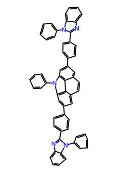 c1ccc(-n2c(-c3ccc(-c4cc5ccc6cc(-c7ccc(-c8nc9ccccc9n8-c8ccccc8)cc7)cc7c6c5c(c4)n7-c4ccccc4)cc3)nc3ccccc32)cc1